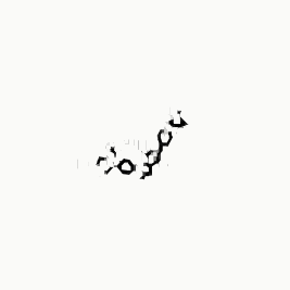 C[C@H]1CN(C(=O)OC(C)(C)C)[C@H](c2ccc(-n3c(Cl)cc4c(=O)n(CC5(O)CCN(C(=O)[C@@]6(C)C[C@@H]6C(F)F)CC5)cnc43)cc2)CO1